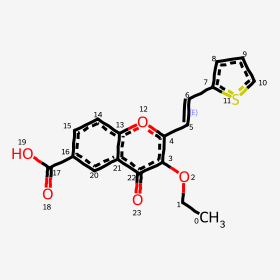 CCOc1c(/C=C/c2cccs2)oc2ccc(C(=O)O)cc2c1=O